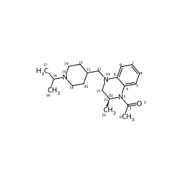 CC(=O)N1c2ccccc2N(CC2CCN(C(C)C)CC2)C[C@@H]1C